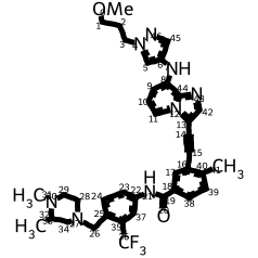 COCCCn1cc(Nc2cccn3c(C#Cc4cc(C(=O)Nc5ccc(CN6CCN(C)C(C)C6)c(C(F)(F)F)c5)ccc4C)cnc23)cn1